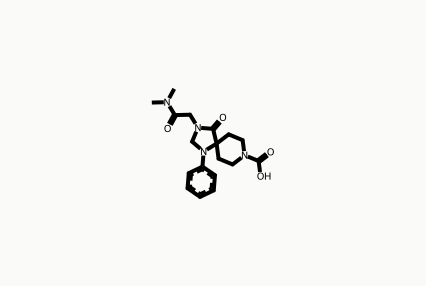 CN(C)C(=O)CN1CN(c2ccccc2)C2(CCN(C(=O)O)CC2)C1=O